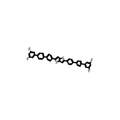 Fc1cc(F)cc(-c2ccc(-c3ccc(-c4cc5sc(-c6ccc(-c7ccc(-c8cc(F)cc(F)c8)cc7)cc6)cc5s4)cc3)cc2)c1